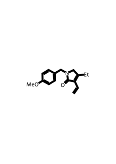 C=CC1=C(CC)CN(Cc2ccc(OC)cc2)C1=O